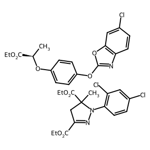 CCOC(=O)C1=NN(c2ccc(Cl)cc2Cl)C(C)(C(=O)OCC)C1.CCOC(=O)[C@@H](C)Oc1ccc(Oc2nc3ccc(Cl)cc3o2)cc1